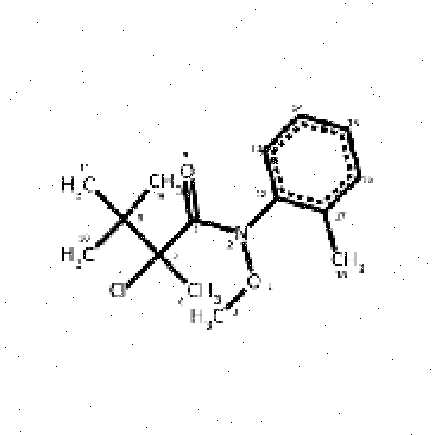 CON(C(=O)C(C)(Cl)C(C)(C)C)c1ccccc1C